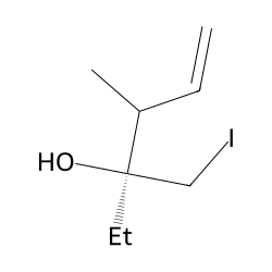 C=CC(C)[C@@](O)(CC)CI